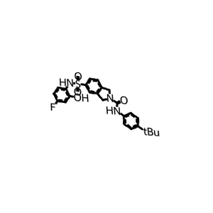 CC(C)(C)c1ccc(NC(=O)N2Cc3ccc(S(=O)(=O)Nc4ccc(F)cc4O)cc3C2)cc1